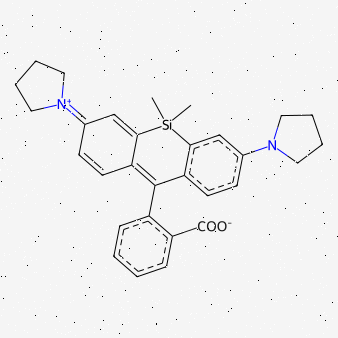 C[Si]1(C)C2=CC(=[N+]3CCCC3)C=CC2=C(c2ccccc2C(=O)[O-])c2ccc(N3CCCC3)cc21